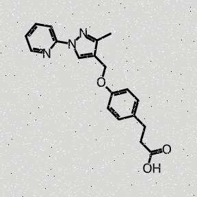 Cc1nn(-c2ccccn2)cc1COc1ccc(CCC(=O)O)cc1